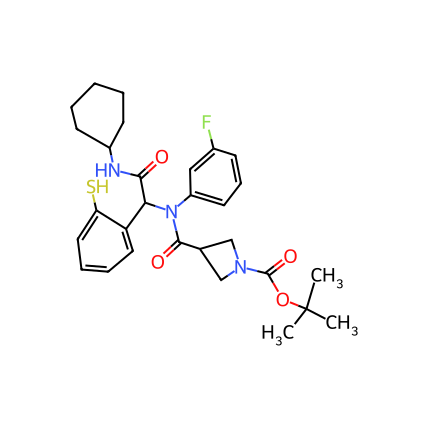 CC(C)(C)OC(=O)N1CC(C(=O)N(c2cccc(F)c2)C(C(=O)NC2CCCCC2)c2ccccc2S)C1